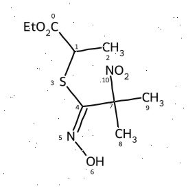 CCOC(=O)C(C)S/C(=N/O)C(C)(C)[N+](=O)[O-]